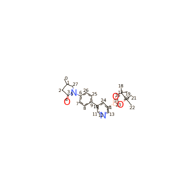 CC1CC(=O)N(c2ccc(-c3cncc(B4OC(C)(C)C(C)(C)O4)c3)cc2)C1